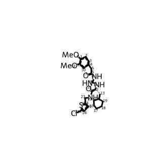 COc1ccc(CC(=O)NC(=N)N[C@H](CC2CCCCC2)C(=O)NCc2ccc(Cl)s2)cc1OC